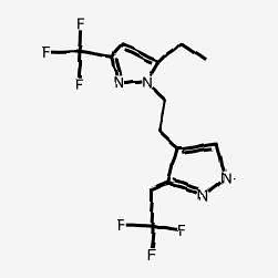 CCc1cc(C(F)(F)F)nn1CCC1=C[N]N=C1CC(F)(F)F